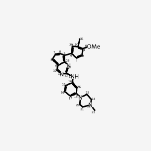 COc1ccc(-c2cccc3cnc(Nc4cccc(N5CCN(C)CC5)c4)nc23)cc1C